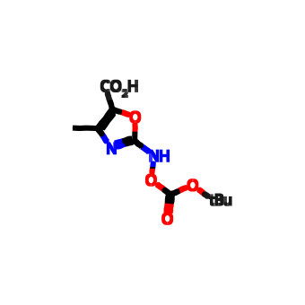 Cc1nc(NOC(=O)OC(C)(C)C)oc1C(=O)O